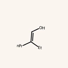 CCCC(=CO)CC